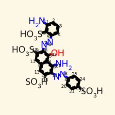 Nc1cccc(N=Nc2c(S(=O)(=O)O)cc3cc(S(=O)(=O)O)c(N=Nc4ccc(S(=O)(=O)O)cc4)c(N)c3c2O)c1S(=O)(=O)O